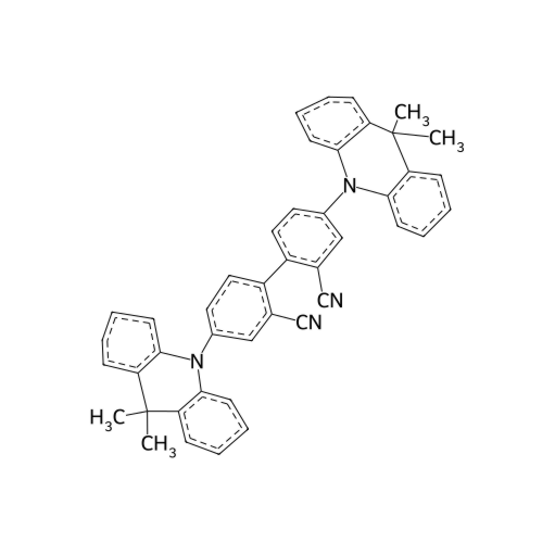 CC1(C)c2ccccc2N(c2ccc(-c3ccc(N4c5ccccc5C(C)(C)c5ccccc54)cc3C#N)c(C#N)c2)c2ccccc21